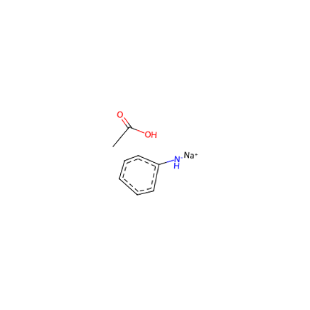 CC(=O)O.[NH-]c1ccccc1.[Na+]